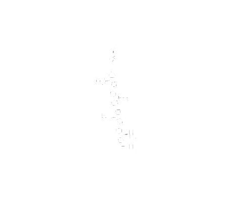 C=CC(=O)OCCCCc1ccc2c(c1)C(C)(C)c1cc(-c3ccc4c(c3)C(C)(C)c3cc(-c5ccc6c(c5)C(C)(C)c5cc(-c7ccc8c(c7)C(C)(C)c7cc(C(=C)C)ccc7-8)ccc5-6)ccc3-4)ccc1-2